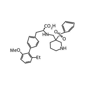 CCc1cccc(OC)c1-c1ccc(C[C@H](NCC2(S(=O)(=O)c3ccccc3)CCCNC2)C(=O)O)cc1